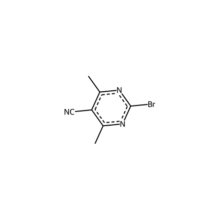 Cc1nc(Br)nc(C)c1C#N